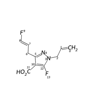 C=CCn1nc(CC=CF)c(C(=O)O)c1F